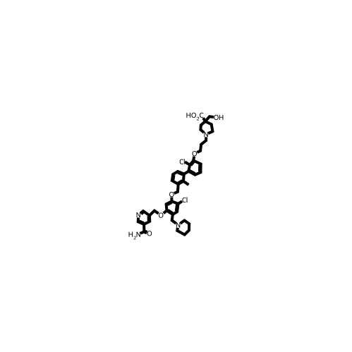 Cc1c(COc2cc(OCc3cncc(C(N)=O)c3)c(CN3CCCCC3)cc2Cl)cccc1-c1cccc(OCCCN2CCC(CO)(C(=O)O)CC2)c1Cl